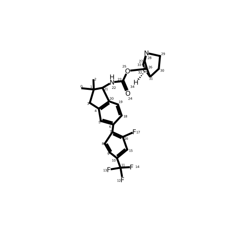 CC1(C)Cc2cc(-c3ccc(C(F)(F)F)cc3F)ccc2C1NC(=O)O[C@H]1CN2CCC1CC2